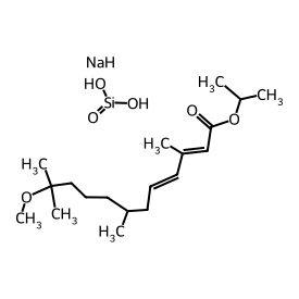 COC(C)(C)CCCC(C)C/C=C/C(C)=C/C(=O)OC(C)C.O=[Si](O)O.[NaH]